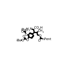 CCCCCC(=O)OCC(C)C(c1ccc(OC(=O)OC(C)CC)c(OC(=O)OC(C)CC)c1)[C@H](N)C(=O)O